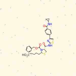 O=C(O)CCCCC1SC[C@@H](C(=O)Nc2nc(-c3ccc(C(=O)NC4CC4)cc3)cs2)N1C(=O)OCc1ccccc1